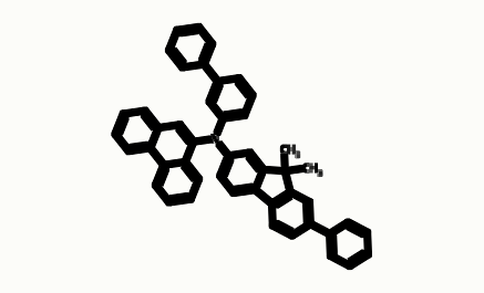 CC1(C)c2cc(-c3ccccc3)ccc2-c2ccc(N(c3cccc(-c4ccccc4)c3)c3cc4ccccc4c4ccccc34)cc21